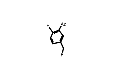 CC(=O)c1cc(CF)ccc1F